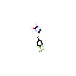 O=c1[nH]cc(SCc2ccc(S(F)(F)(F)(F)F)cc2)[nH]c1=O